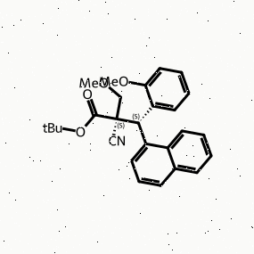 COC[C@](C#N)(C(=O)OC(C)(C)C)[C@H](c1ccccc1OC)c1cccc2ccccc12